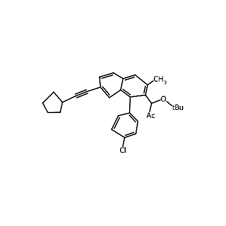 CC(=O)C(OC(C)(C)C)c1c(C)cc2ccc(C#CC3CCCC3)cc2c1-c1ccc(Cl)cc1